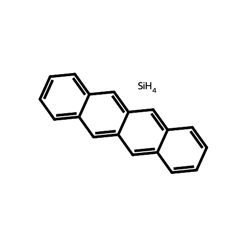 [SiH4].c1ccc2cc3cc4ccccc4cc3cc2c1